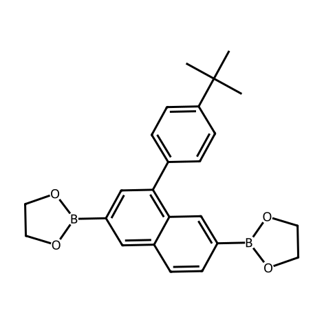 CC(C)(C)c1ccc(-c2cc(B3OCCO3)cc3ccc(B4OCCO4)cc23)cc1